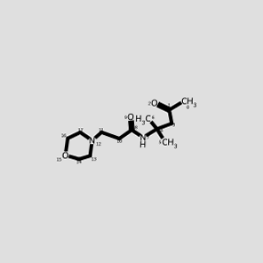 CC(=O)CC(C)(C)NC(=O)CCN1CCOCC1